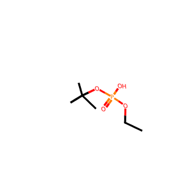 CCOP(=O)(O)OC(C)(C)C